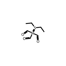 CC[S](CC)=[Ni]([CH]=O)([CH]=O)[CH]=O